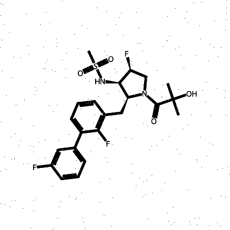 CC(C)(O)C(=O)N1C[C@H](F)[C@H](NS(C)(=O)=O)[C@@H]1Cc1cccc(-c2cccc(F)c2)c1F